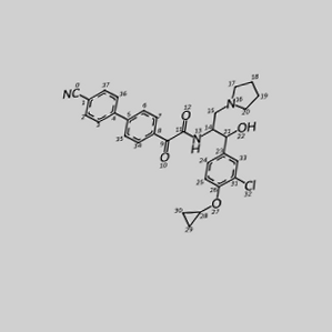 N#Cc1ccc(-c2ccc(C(=O)C(=O)NC(CN3CCCC3)C(O)c3ccc(OC4CC4)c(Cl)c3)cc2)cc1